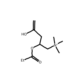 C=C(O)CC(C[N+](C)(C)C)OC(=O)CC